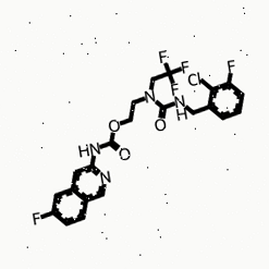 O=C(Nc1cc2cc(F)ccc2cn1)OCCN(CC(F)(F)F)C(=O)NCc1cccc(F)c1Cl